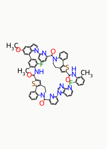 COc1cc(-c2cc(C)c(NC(=O)c3cc4c(s3)-c3ccccc3N(C(=O)c3cccc(-n5cnc6ncccc65)n3)CC4)c(F)c2)c2c(ccn2-c2cccc(C(=O)N3CCc4cc(C(=O)Nc5c(C)cccc5F)sc4-c4ccccc43)n2)c1